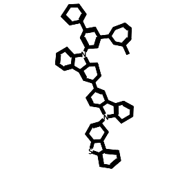 CC1=CC=CCC(c2cc(C3=CCCC=C3)cc(N3c4ccccc4C4=CC(C5=CC6C7=C(CCC=C7)N(C7=CCC8Sc9ccccc9C8C7)C6C=C5)CCC43)c2)C1